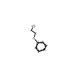 ClCCSc1ccccc1